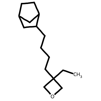 CCC1(CCCCC2CC3CCC2C3)COC1